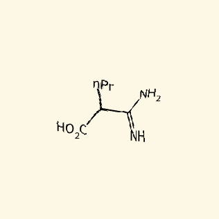 CCCC(C(=N)N)C(=O)O